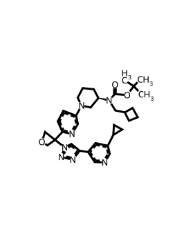 CC(C)(C)OC(=O)N(CC1CCC1)[C@@H]1CCCN(c2ccc(C3(n4cc(-c5cncc(C6CC6)c5)nn4)COC3)nc2)C1